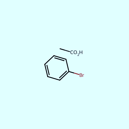 Brc1ccccc1.CC(=O)O